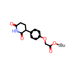 CC(C)(C)OC(=O)COc1ccc(C2CCC(=O)NC2=O)cc1